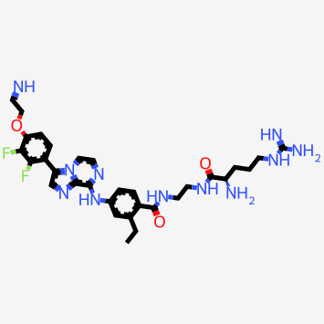 CCc1cc(Nc2nccn3c(-c4ccc(OCC=N)c(F)c4F)cnc23)ccc1C(=O)NCCNC(=O)[C@H](N)CCCNC(=N)N